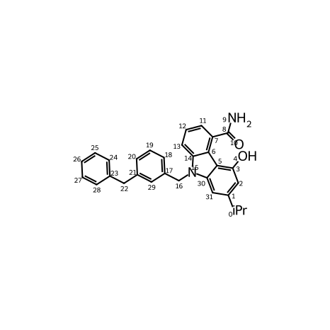 CC(C)c1cc(O)c2c3c(C(N)=O)cccc3n(Cc3cccc(Cc4ccccc4)c3)c2c1